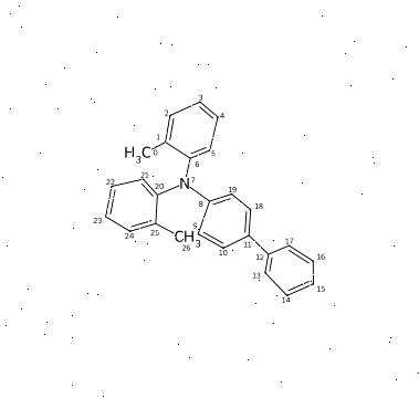 Cc1ccccc1N(c1ccc(-c2ccccc2)cc1)c1ccccc1C